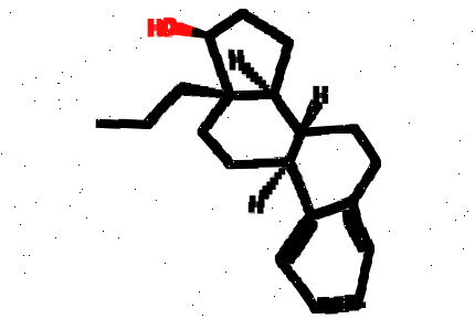 CCC[C@]12CC[C@@H]3c4cc[c]cc4CC[C@H]3[C@@H]1CC[C@@H]2O